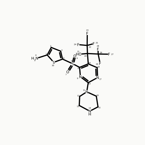 Nc1ccc(S(=O)(=O)c2nc(N3CCNCC3)ncc2C(O)(C(F)(F)F)C(F)(F)F)s1